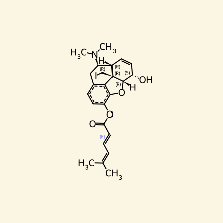 CC(C)=C/C=C/C(=O)Oc1ccc2c3c1O[C@H]1[C@@H](O)C=C[C@@H]([C@H](N(C)C)C2)[C@@]31CI